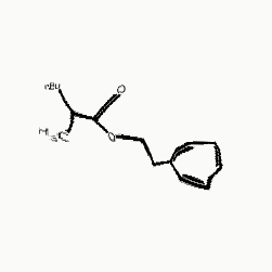 CCCCC(C)C(=O)OCCc1ccccc1